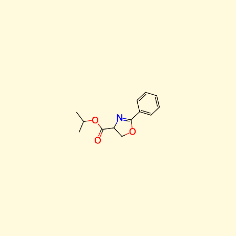 CC(C)OC(=O)C1COC(c2ccccc2)=N1